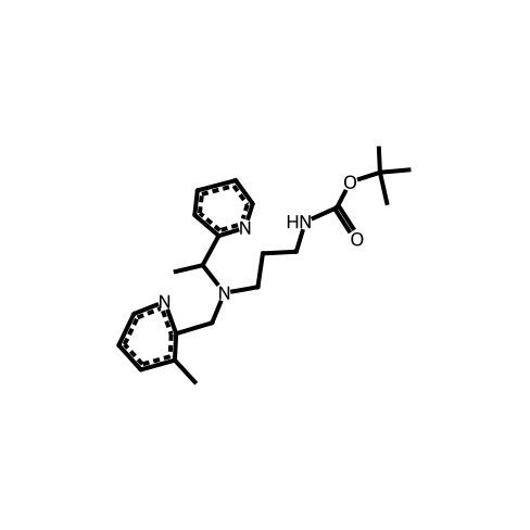 Cc1cccnc1CN(CCCNC(=O)OC(C)(C)C)C(C)c1ccccn1